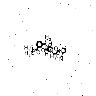 C[C@H](c1cccc(C(=O)N(C)C)c1)N1C(=O)[C@@H]2C[C@H]1CN2C[C@H](C)C(=O)N1CCC[C@H]1C#N